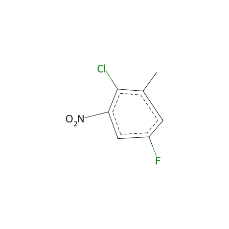 Cc1cc(F)cc([N+](=O)[O-])c1Cl